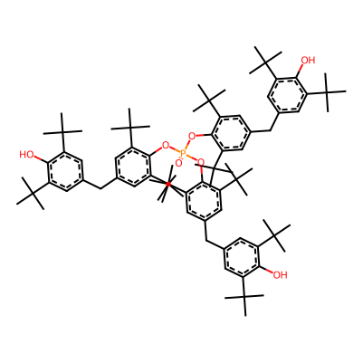 CC(C)(C)c1cc(Cc2cc(C(C)(C)C)c(OP(=O)(Oc3c(C(C)(C)C)cc(Cc4cc(C(C)(C)C)c(O)c(C(C)(C)C)c4)cc3C(C)(C)C)Oc3c(C(C)(C)C)cc(Cc4cc(C(C)(C)C)c(O)c(C(C)(C)C)c4)cc3C(C)(C)C)c(C(C)(C)C)c2)cc(C(C)(C)C)c1O